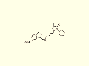 CC(=O)Nc1ccc2c(c1)C(CN(C)CCCCC1CNC(=O)N1C1CCCCC1)CC2